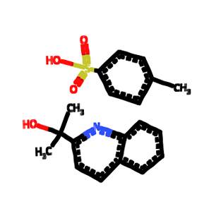 CC(C)(O)c1ccc2ccccc2n1.Cc1ccc(S(=O)(=O)O)cc1